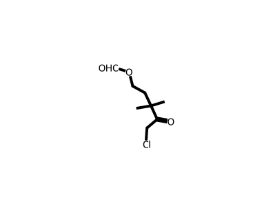 CC(C)(CCOC=O)C(=O)CCl